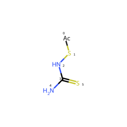 CC(=O)SNC(N)=S